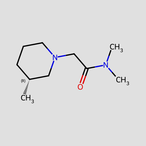 C[C@@H]1CCCN(CC(=O)N(C)C)C1